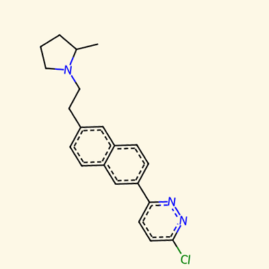 CC1CCCN1CCc1ccc2cc(-c3ccc(Cl)nn3)ccc2c1